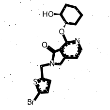 O=C1c2c(ccnc2O[C@H]2CCCC[C@@H]2O)CN1Cc1ccc(Br)s1